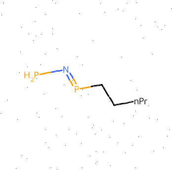 CCCCCP=NP